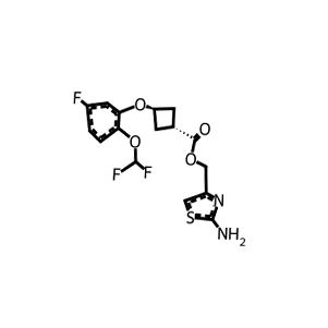 Nc1nc(COC(=O)[C@H]2C[C@H](Oc3cc(F)ccc3OC(F)F)C2)cs1